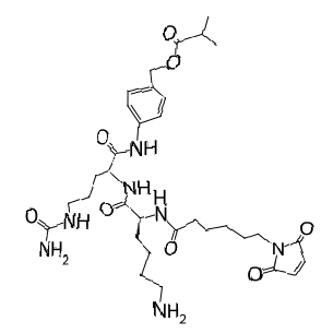 CC(C)C(=O)OCc1ccc(NC(=O)C(CCCNC(N)=O)NC(=O)[C@H](CCCCN)NC(=O)CCCCCN2C(=O)C=CC2=O)cc1